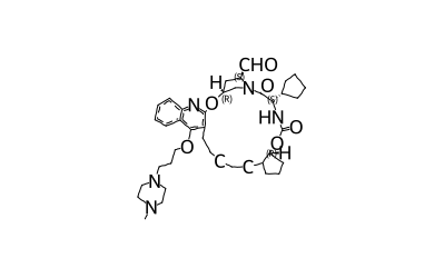 CN1CCN(CCCOc2c3c(nc4ccccc24)O[C@@H]2C[C@@H](C=O)N(C2)C(=O)[C@H](C2CCCC2)NC(=O)O[C@@H]2CCCC2CCCCC3)CC1